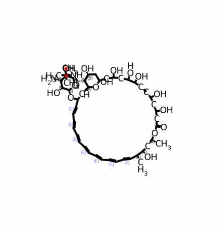 C[C@H]1C[C@H](O)[C@@H](C)/C=C/C=C/C=C/C=C/C=C/C=C/C=C/C(O[C@@H]2OC[C@@H](O)[C@H](N)[C@@H]2O)C[C@@H]2OC(O)(CC(O)CC(O)C(O)CCC(O)CC(O)CC(=O)O1)C[C@H](O)[C@H]2C(=O)NC(C)(C)C